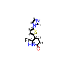 CCC1=C(c2ccc(-n3ccnc3)s2)CCC(=O)N1